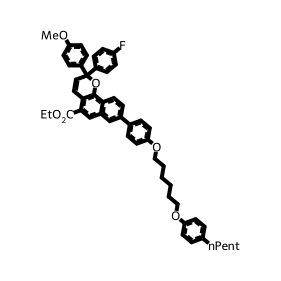 CCCCCc1ccc(OCCCCCCOc2ccc(-c3ccc4c5c(c(C(=O)OCC)cc4c3)C=CC(c3ccc(F)cc3)(c3ccc(OC)cc3)O5)cc2)cc1